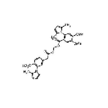 COc1cc(C(=O)OCOC(=O)Cc2ccc(C(=O)O)c(-n3ccnc3C)c2)c(-n2c(C)ccc2C)cc1OC